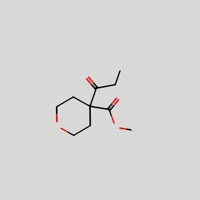 CCC(=O)C1(C(=O)OC)CCOCC1